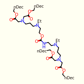 CCCCCCCCCCCOC(=O)CN(CCCN(CC)CCNC(=O)OCCN(CC)CCCN(CC(=O)OCCCCCCCCCCC)CC(=O)OCCCCCCCCCCC)CC(=O)OCCCCCCCCCCC